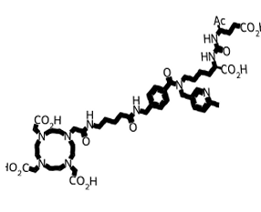 CC(=O)[C@@H](CCC(=O)O)NC(=O)N[C@H](CCCCN(Cc1ccc(C)nc1)C(=O)c1ccc(CNC(=O)CCCCNC(=O)CN2CCN(CC(=O)O)CCN(CC(=O)O)CCN(CC(=O)O)CC2)cc1)C(=O)O